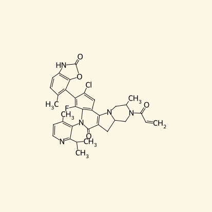 C=CC(=O)N1CC2Cc3c(c4cc(Cl)c(-c5c(C)ccc6[nH]c(=O)oc56)c(F)c4n(-c4c(C)ccnc4C(C)C)c3=O)N2CC1C